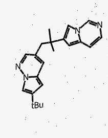 CC(C)(C)c1cc2cc(CC(C)(C)c3cc4ccncn4c3)cnn2c1